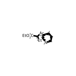 CCOC(=O)C(CC)C(C)=O.c1ccncc1